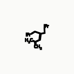 C=C(C)C=C(CC(C)C)CC(C)C